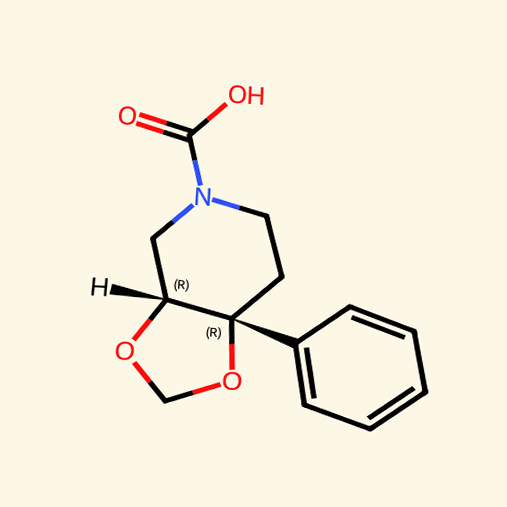 O=C(O)N1CC[C@]2(c3ccccc3)OCO[C@@H]2C1